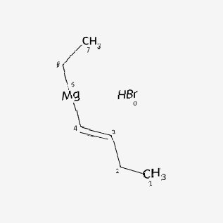 Br.CCC=[CH][Mg][CH2]C